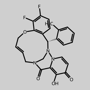 Cc1ccccc1[C@H]1c2ccc(F)c(F)c2OC/C=C/CN2CN1n1ccc(=O)c(O)c1C2=O